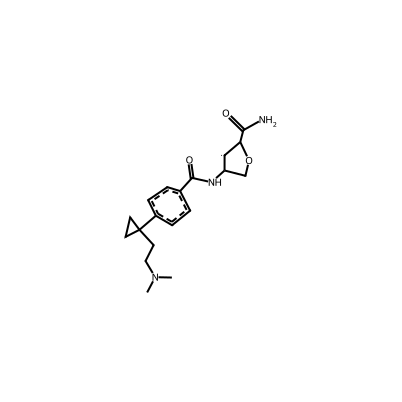 CN(C)CCC1(c2ccc(C(=O)NC3[CH]C(C(N)=O)OC3)cc2)CC1